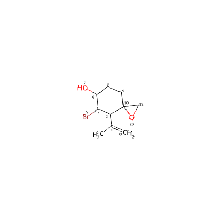 C=C(C)C1C(Br)C(O)CCC12CO2